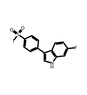 O=S(=O)(I)c1ccc(-c2c[nH]c3cc(F)ccc23)cc1